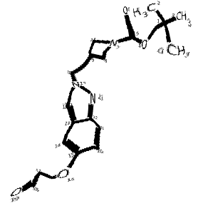 CC(C)(C)OC(=O)N1CC(Cn2cc3cc(OCC=O)ccc3n2)C1